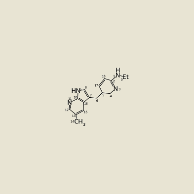 CCNC1=NCC(Cc2c[nH]c3ncc(C)cc23)C=C1